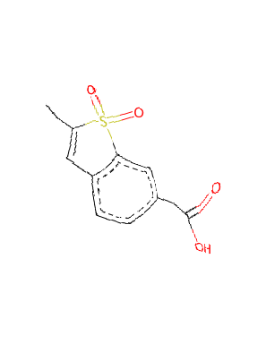 CC1=Cc2ccc(C(=O)O)cc2S1(=O)=O